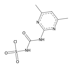 Cc1cc(C)nc(NC(=O)NS(=O)(=O)Cl)n1